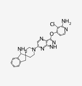 Nc1nccc(Oc2n[nH]c3nc(N4CCC5(CC4)Cc4ccccc4C5N)cnc23)c1Cl